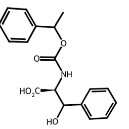 CC(OC(=O)N[C@H](C(=O)O)C(O)c1ccccc1)c1ccccc1